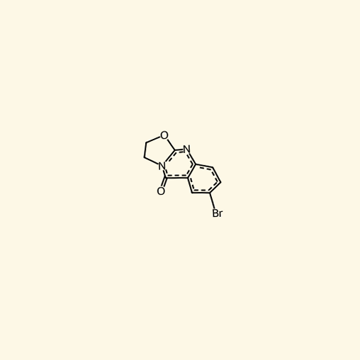 O=c1c2cc(Br)ccc2nc2n1CCO2